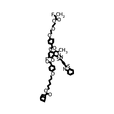 C=C(F)C(=O)OCCOCCOc1ccc(C(=O)Oc2cc(F)c(OC(=O)c3ccc(OCCCCCCOC(=O)C4CC5C=CC4C5)cc3)c(-c3nnc(C#Cc4nc5ccccc5s4)s3)c2CCC)cc1